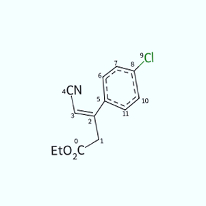 CCOC(=O)C/C(=C/C#N)c1ccc(Cl)cc1